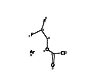 O=C(Cl)OCC(F)F.[Ar]